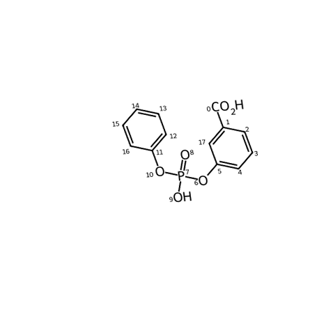 O=C(O)c1cccc(OP(=O)(O)Oc2ccccc2)c1